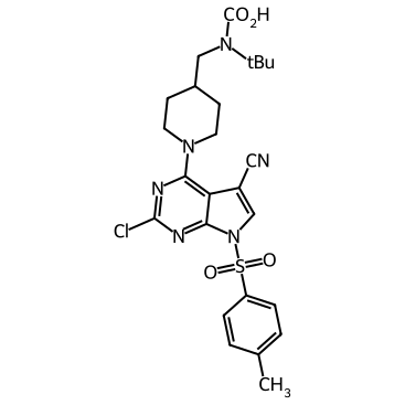 Cc1ccc(S(=O)(=O)n2cc(C#N)c3c(N4CCC(CN(C(=O)O)C(C)(C)C)CC4)nc(Cl)nc32)cc1